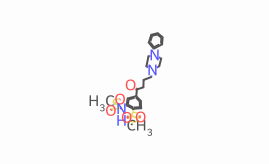 CS(=O)(=O)Nc1cc(C(=O)CCCN2CCN(c3ccccc3)CC2)ccc1S(C)(=O)=O